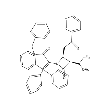 CC(=O)OC(C)[C@H]1C(=O)N(C(C(=O)OCc2ccccc2)=P(c2ccccc2)(c2ccccc2)c2ccccc2)[C@H]1CC(=S)c1ccccc1